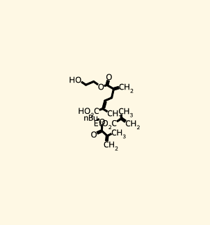 C=C(C)C(=O)OCC.C=C(C)C(=O)OCCCC.C=C(CC=C(C)C(=O)O)C(=O)OCCO